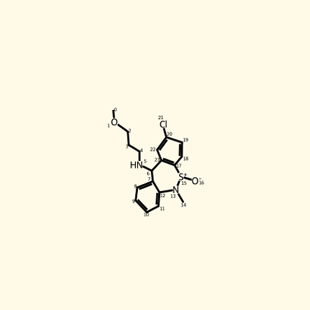 COCCCNC1c2ccccc2N(C)[S+]([O-])c2ccc(Cl)cc21